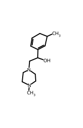 CC1C=C(C(O)CN2CCN(C)CC2)C=CC1